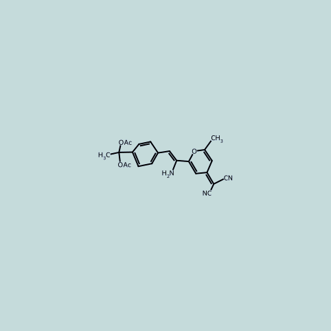 CC(=O)OC(C)(OC(C)=O)c1ccc(C=C(N)C2=CC(=C(C#N)C#N)C=C(C)O2)cc1